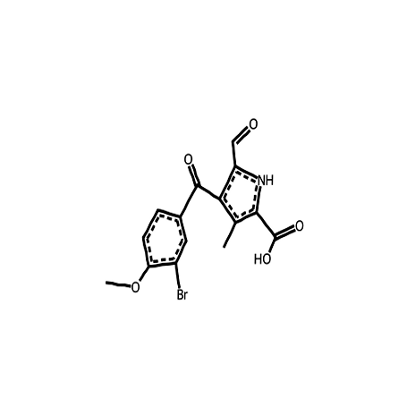 COc1ccc(C(=O)c2c(C=O)[nH]c(C(=O)O)c2C)cc1Br